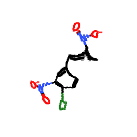 C/C(=C\c1ccc(Cl)c([N+](=O)[O-])c1)[N+](=O)[O-]